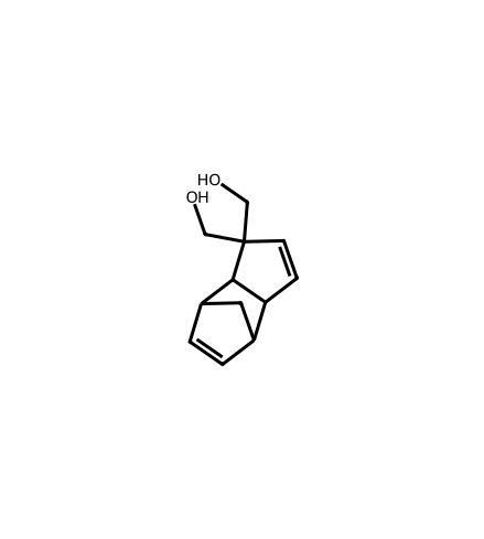 OCC1(CO)C=CC2C3C=CC(C3)C21